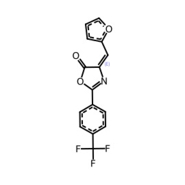 O=C1OC(c2ccc(C(F)(F)F)cc2)=N/C1=C/c1ccco1